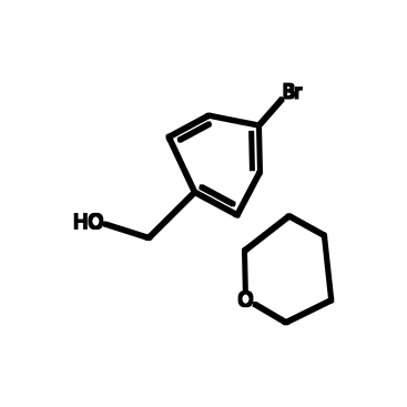 C1CCOCC1.OCc1ccc(Br)cc1